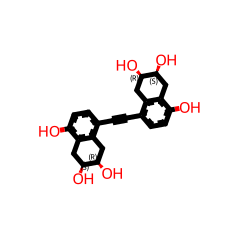 Oc1ccc(C#Cc2ccc(O)c3c2C[C@@H](O)[C@@H](O)C3)c2c1C[C@H](O)[C@H](O)C2